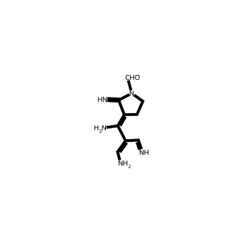 N=CC(=C\N)/C(N)=C1\CCN(C=O)C1=N